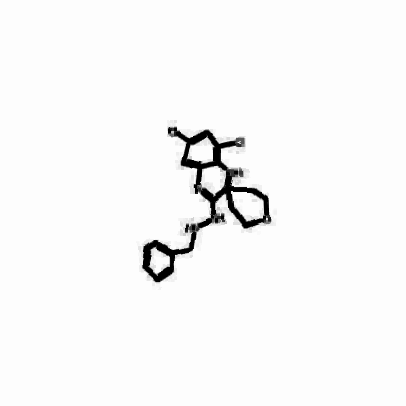 Clc1cc(Cl)c2c(c1)N=C(NNCc1ccccc1)C1(CCOCC1)N2